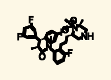 C[C@H](C(=O)Nc1cccc(F)c1CCC[C@H]1CNC[C@H](C)N1S(C)(=O)=O)[C@@H](c1ccc(F)cc1)c1cc(F)cc(F)c1